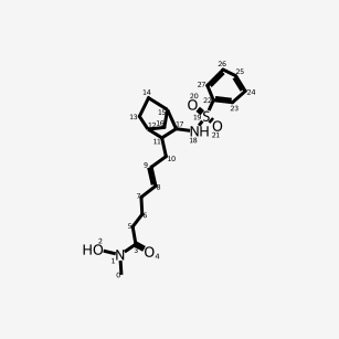 CN(O)C(=O)CCCC=CCC1C2CCC(C2)C1NS(=O)(=O)c1ccccc1